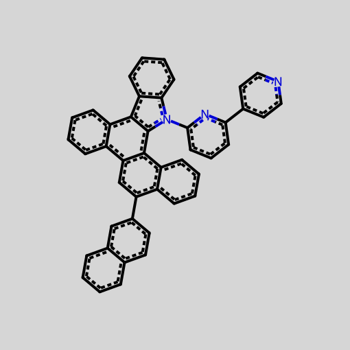 c1cc(-c2ccncc2)nc(-n2c3ccccc3c3c4ccccc4c4cc(-c5ccc6ccccc6c5)c5ccccc5c4c32)c1